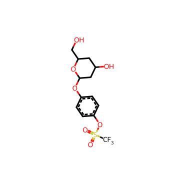 O=S(=O)(Oc1ccc(OC2CC(O)CC(CO)O2)cc1)C(F)(F)F